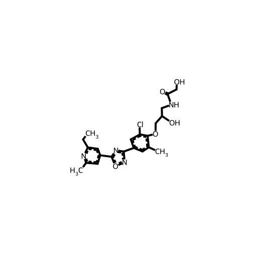 CCc1cc(-c2nc(-c3cc(C)c(OCC(O)CNC(=O)CO)c(Cl)c3)no2)cc(C)n1